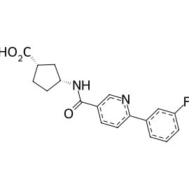 O=C(N[C@@H]1CC[C@H](C(=O)O)C1)c1ccc(-c2cccc(F)c2)nc1